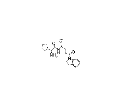 N[C@H](C(=O)N[C@H](C=CC(=O)N1CCc2ccccc21)C1CC1)C1CCCC1